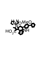 COc1ccccc1-c1ccc2c(c1)NC(=O)C2=Cc1c(-c2ccccc2)c(C(=O)O)c(C)n1C(C(N)=O)N1CCCC1